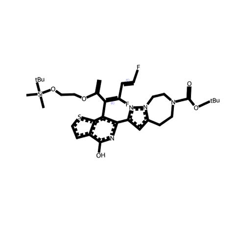 C=C(OCCO[Si](C)(C)C(C)(C)C)/C(=C(F)\C=C\F)c1c(-c2cc3n(n2)CCN(C(=O)OC(C)(C)C)CC3)nc(O)c2ccsc12